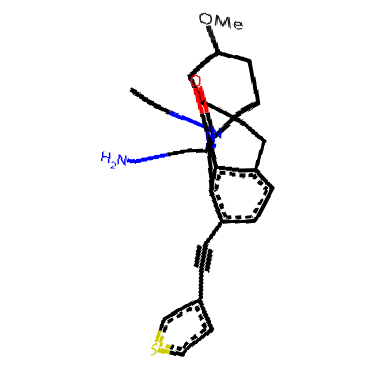 COC1CCC2(CC1)Cc1ccc(C#Cc3ccsc3)cc1C21N=C(N)N(C)C1=O